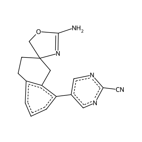 N#Cc1ncc(-c2cccc3c2CC2(CC3)COC(N)=N2)cn1